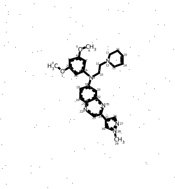 COc1cc(OC)cc(N(CCN2CC=CCC2)c2ccc3ncc(-c4cnn(C)c4)nc3c2)c1